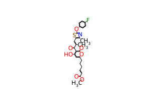 COC(=O)/C=C/CCCc1cc(O)c(C(=O)/C(C)=C/c2sc(Oc3ccc(F)cc3)nc2C)c(=O)o1